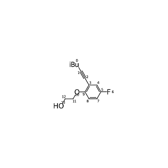 CCC(C)C#Cc1cc(F)ccc1OCCO